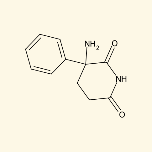 NC1(c2ccccc2)CCC(=O)NC1=O